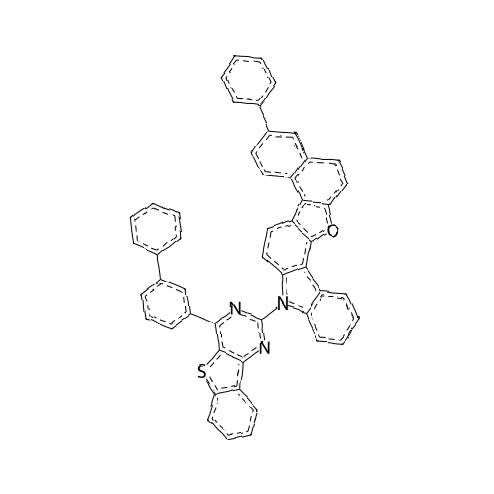 c1ccc(-c2cccc(-c3nc(-n4c5ccccc5c5c6oc7ccc8cc(-c9ccccc9)ccc8c7c6ccc54)nc4c3sc3ccccc34)c2)cc1